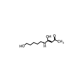 CC(=O)/C=C(\O)NCCCCCO